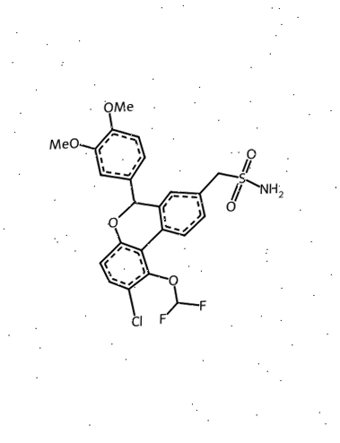 COc1ccc(C2Oc3ccc(Cl)c(OC(F)F)c3-c3ccc(CS(N)(=O)=O)cc32)cc1OC